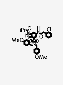 COc1ccc(CN(Cc2ccc(OC)cc2)S(=O)(=O)c2cc(NC(=O)Cc3ccccc3Cl)cc3c2cnn3C(=O)C(C)C)cc1